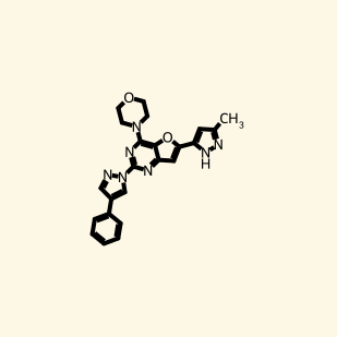 Cc1cc(-c2cc3nc(-n4cc(-c5ccccc5)cn4)nc(N4CCOCC4)c3o2)[nH]n1